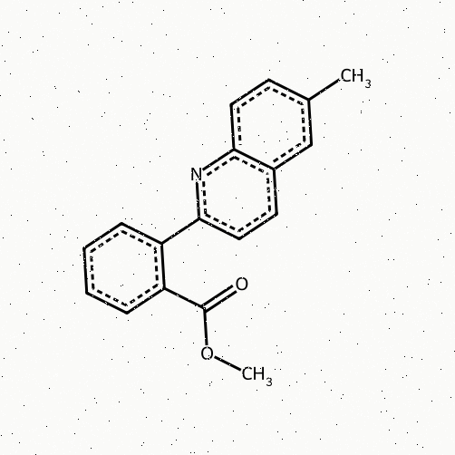 COC(=O)c1ccccc1-c1ccc2cc(C)ccc2n1